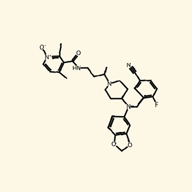 Cc1cc[n+]([O-])c(C)c1C(=O)NCCC(C)N1CCC(N(Cc2cc(C#N)ccc2F)c2ccc3c(c2)OCO3)CC1